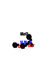 COc1ccc(CN(CC(C)C)C[C@@H](O)[C@@H](N)Cc2ccc(OCc3ccccc3)cc2)cc1